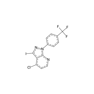 FC(F)(F)c1ccc(-n2nc(I)c3c(Cl)ccnc32)cc1